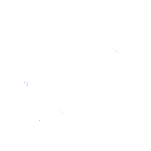 CNC(=O)c1cc(-c2ccc([C@]34C[C@H]3CN(C(C)C)C4)cc2)cnc1N